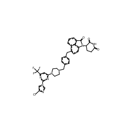 O=C1CCC(N2C(=O)c3cccc4c(Cc5ccc(CN6CCN(c7cc(C(F)(F)F)nc(-n8cnc(Cl)c8)n7)CC6)cc5)ccc2c34)C(=O)N1